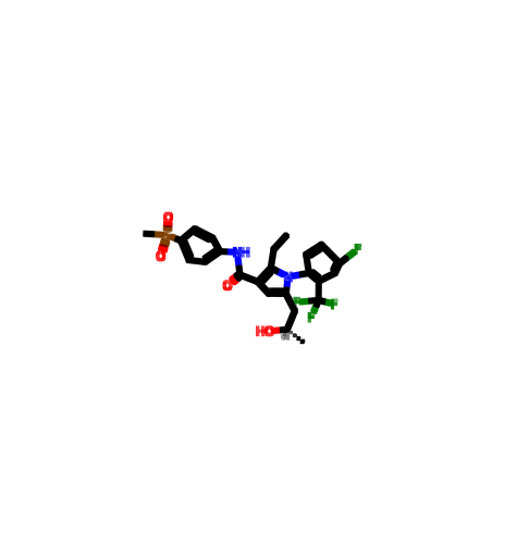 CCc1c(C(=O)Nc2ccc(S(C)(=O)=O)cc2)cc(C[C@H](C)O)n1-c1ccc(F)cc1C(F)(F)F